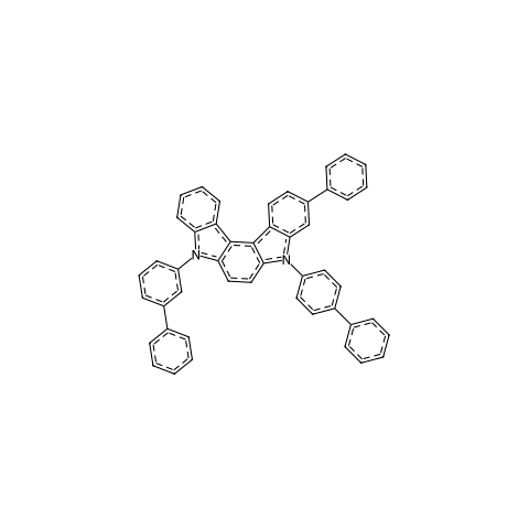 c1ccc(-c2ccc(-n3c4cc(-c5ccccc5)ccc4c4c5c6ccccc6n(-c6cccc(-c7ccccc7)c6)c5ccc43)cc2)cc1